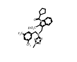 CCOC(=O)c1c(CN(Cc2cc(C(F)(F)F)cc(C(F)(F)F)c2)c2nnn(C)n2)c2ccccc2n1C(=O)C1CCCC1